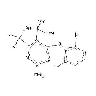 [2H]C([2H])([2H])c1c(Oc2c(F)cccc2F)nc(N)nc1C(F)(F)F